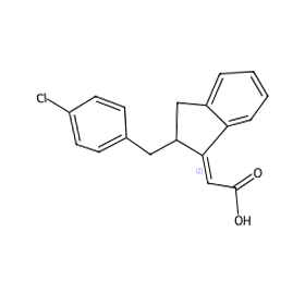 O=C(O)/C=C1\c2ccccc2CC1Cc1ccc(Cl)cc1